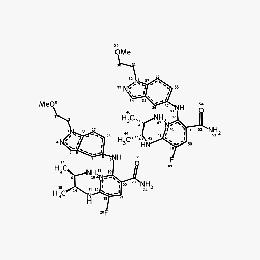 COCCn1ncc2cc(Nc3nc(N[C@@H](C)[C@@H](C)N)c(F)cc3C(N)=O)ccc21.COCCn1ncc2cc(Nc3nc(N[C@H](C)[C@H](C)N)c(F)cc3C(N)=O)ccc21